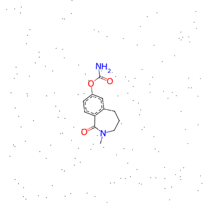 CN1CCCc2cc(OC(N)=O)ccc2C1=O